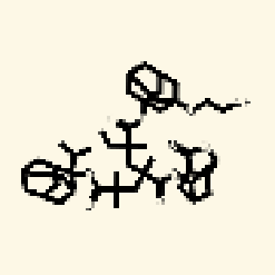 CCC(C)(CC(C)(CC(C)(C)C(=O)OC1(C(C)C)C2CC3CC(C2)CC1C3)C(=O)OC1C2CC3C(=O)OC1C3C2)C(=O)OC12CC3CC(CC(OCCO)(C3)C1)C2